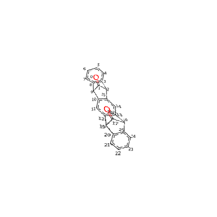 O=C1C2c3ccccc3C1c1cc3c(cc12)C1C(=O)C3c2ccccc21